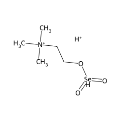 C[N+](C)(C)CCO[SeH](=O)=O.[H+]